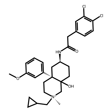 COc1cccc([C@@]23CC[N@+](C)(CC4CC4)CC2(O)CC[C@H](NC(=O)Cc2ccc(Cl)c(Cl)c2)C3)c1